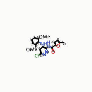 COc1cccc(OC)c1Nc1cc(Cl)nnc1NC(=O)c1ccc(C)o1